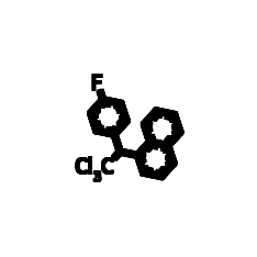 Fc1ccc(C(c2cccc3ccccc23)C(Cl)(Cl)Cl)cc1